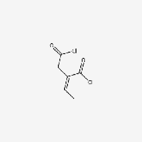 CC=C(CC(=O)Cl)C(=O)Cl